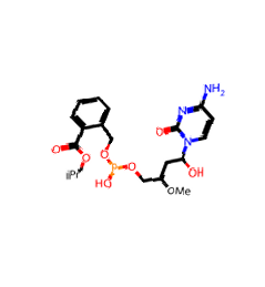 COC(COP(O)OCc1ccccc1C(=O)OC(C)C)CC(O)n1ccc(N)nc1=O